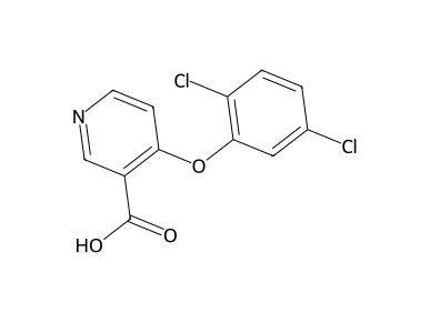 O=C(O)c1cnccc1Oc1cc(Cl)ccc1Cl